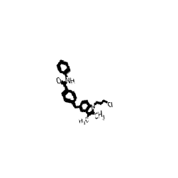 Cc1c(C)n(CCCCl)c2ccc(Cc3ccc(C(=O)Nc4ccccc4)cc3)cc12